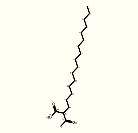 CCCCCCCCCCCCCCCCC(C(C)=O)C(=O)O